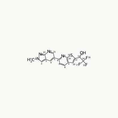 Cn1cc2cc(-c3ccc4cc(C(O)C(F)(F)F)sc4n3)cnc2n1